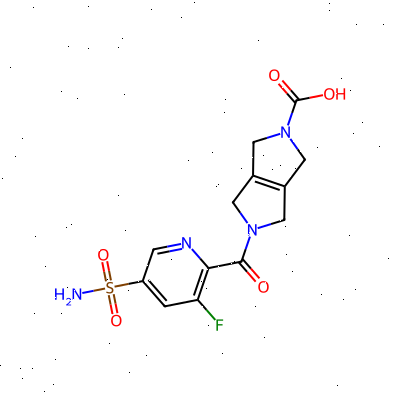 NS(=O)(=O)c1cnc(C(=O)N2CC3=C(CN(C(=O)O)C3)C2)c(F)c1